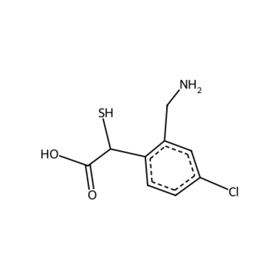 NCc1cc(Cl)ccc1C(S)C(=O)O